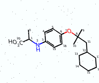 CC(Nc1ccc(OC(C)(C)CC2CCCCC2)cc1)C(=O)O